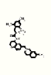 Cc1cc(C)c(C[C@H](N)C(=O)N[C@@H]2CCNc3ccc(CN4CCc5ccc(C)cc5C4)cc32)c(C)c1